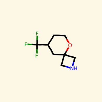 FC(F)(F)C1CCOC2(CNC2)C1